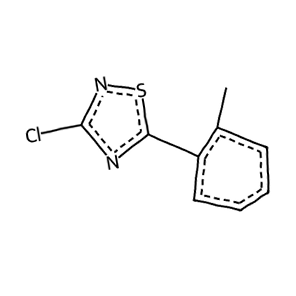 Cc1ccccc1-c1nc(Cl)ns1